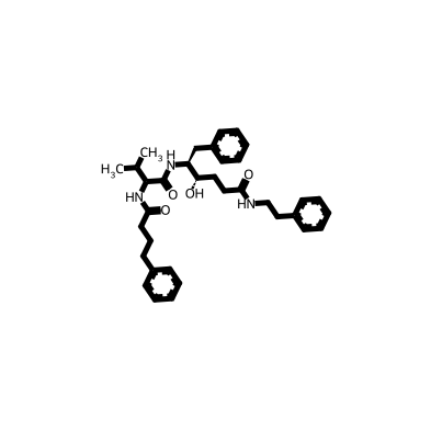 CC(C)C(NC(=O)CCCc1ccccc1)C(=O)N[C@@H](Cc1ccccc1)[C@@H](O)CCC(=O)NCCc1ccccc1